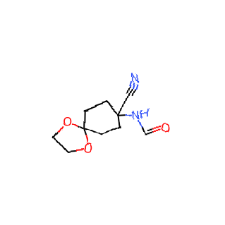 N#CC1(NC=O)CCC2(CC1)OCCO2